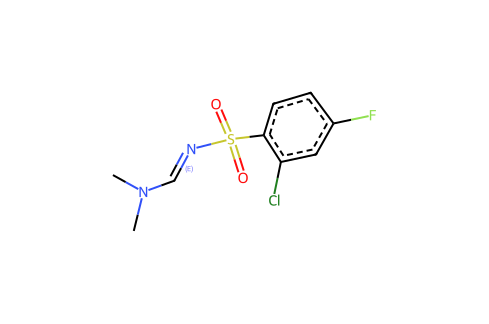 CN(C)/C=N/S(=O)(=O)c1ccc(F)cc1Cl